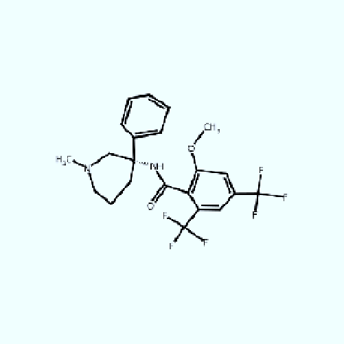 COc1cc(C(F)(F)F)cc(C(F)(F)F)c1C(=O)N[C@]1(c2ccccc2)CCCN(C)C1